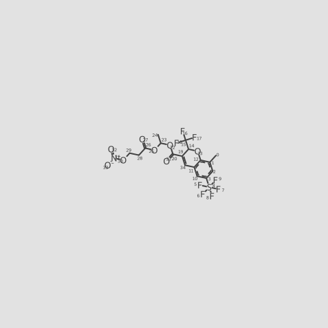 Cc1cc(S(F)(F)(F)(F)F)cc2c1OC(C(F)(F)F)C(C(=O)OC(C)OC(=O)CCO[N+](=O)[O-])=C2